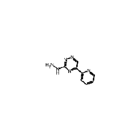 NNc1nncc(-c2ccccn2)n1